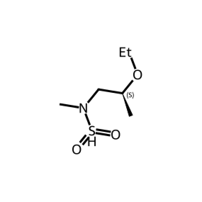 CCO[C@@H](C)CN(C)[SH](=O)=O